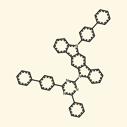 c1ccc(-c2ccc(-c3nc(-c4ccccc4)nc(-n4c5ccccc5c5cc6c(cc54)c4ccccc4n6-c4ccc(-c5ccccc5)cc4)n3)cc2)cc1